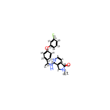 CCN1Cc2c(ccnc2NC(C)c2ccc(Oc3cccc(F)c3)cc2)C1=O